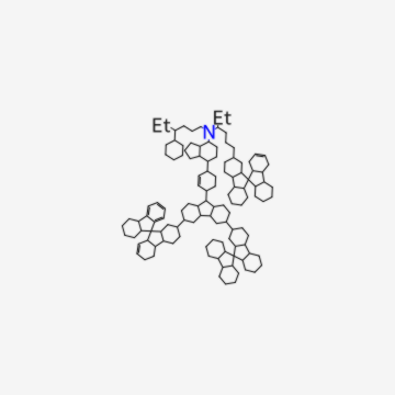 CCC(CCCN(C(CC)CCCC1CCC2C3CCCCC3C3(C4CC=CCC4C4CCCCC43)C2C1)C1CCC(C2C=CC(C3C4CCC(C5CCC6C7CCC=CC7C7(c8ccccc8C8CCCCC87)C6C5)CC4C4CC(C5CCC6C7CCCCC7C7(C8CCCCC8C8CCCCC87)C6C5)CCC43)CC2)C2CCCC21)C1CCCCC1